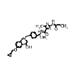 CCC(=O)Nc1nc(C)c(C(=O)N[C@@H](C)c2ccc(CN3Cc4ccc(OCC5CC5)cc4C(O)C3)cc2)s1